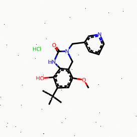 COc1cc(C(C)(C)C)c(O)c2c1CN(Cc1cccnc1)C(=O)N2.Cl